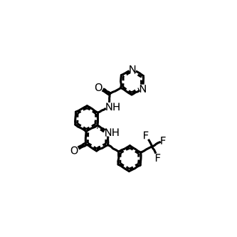 O=C(Nc1cccc2c(=O)cc(-c3cccc(C(F)(F)F)c3)[nH]c12)c1cncnc1